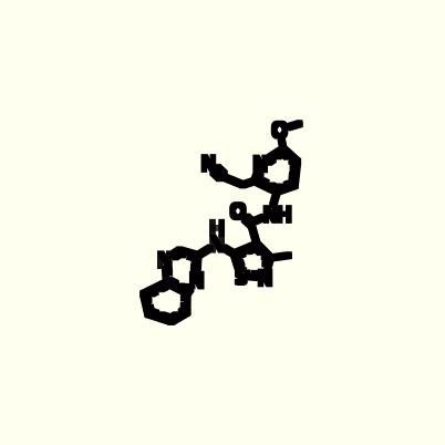 COc1ccc(NC(=O)c2c(C)nsc2Nc2cnc3ccccc3n2)c(CC#N)n1